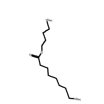 CCCCCCCCCCCCCCCCCC(=O)OCCCCCCCCCCCCCC